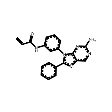 C=CC(=O)Nc1cccc(-n2c(-c3ccccc3)nc3cnc(N)nc32)c1